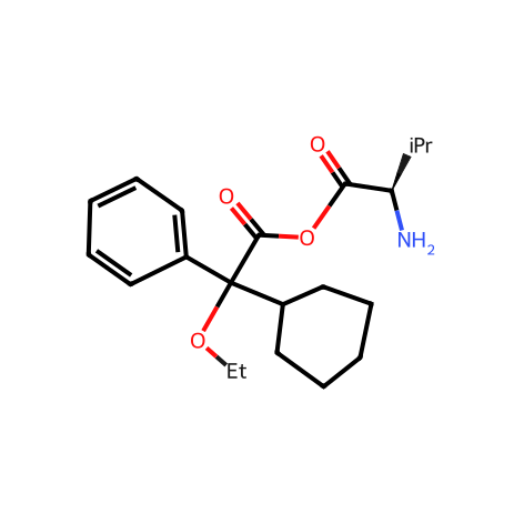 CCOC(C(=O)OC(=O)[C@H](N)C(C)C)(c1ccccc1)C1CCCCC1